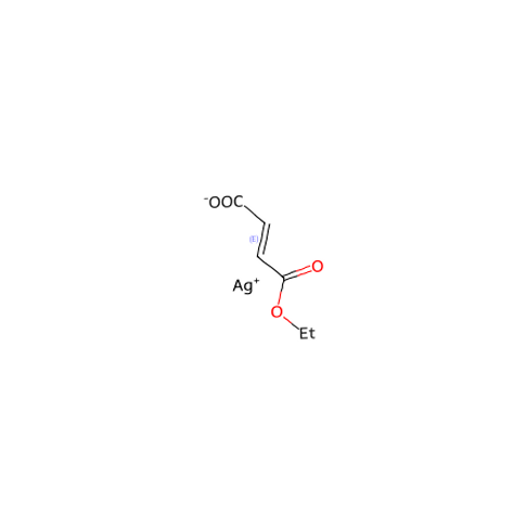 CCOC(=O)/C=C/C(=O)[O-].[Ag+]